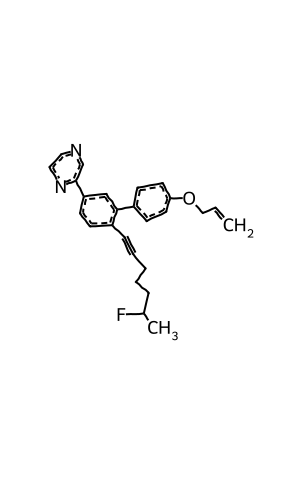 C=CCOc1ccc(-c2cc(-c3cnccn3)ccc2C#CCCCC(C)F)cc1